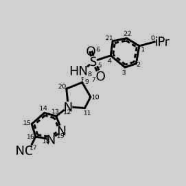 CC(C)c1ccc(S(=O)(=O)N[C@@H]2CCN(c3ccc(C#N)nn3)C2)cc1